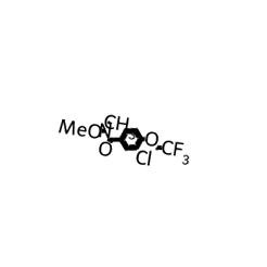 CON(C)C(=O)c1ccc(OCC(F)(F)F)c(Cl)c1